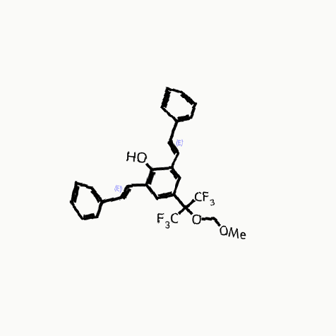 COCOC(c1cc(/C=C/c2ccccc2)c(O)c(/C=C/c2ccccc2)c1)(C(F)(F)F)C(F)(F)F